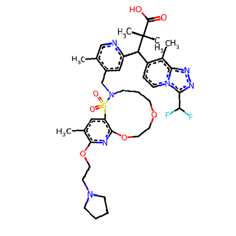 Cc1cnc(C(c2ccn3c(C(F)F)nnc3c2C)C(C)(C)C(=O)O)cc1CN1CCCOCCOc2nc(OCCN3CCCC3)c(C)cc2S1(=O)=O